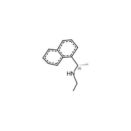 CCN[C@@H](C)c1cccc2ccccc12